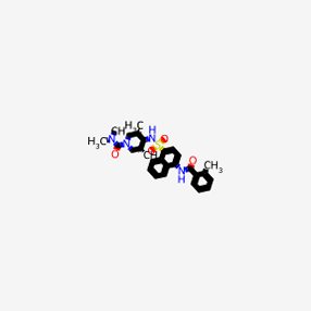 Cc1ccccc1C(=O)Nc1ccc(S(=O)(=O)NC2[C@@H](C)CN(C(=O)N(C)C)C[C@@H]2C)c2ccccc12